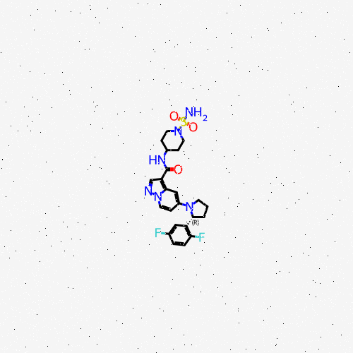 NS(=O)(=O)N1CCC(NC(=O)c2cnn3ccc(N4CCC[C@@H]4c4cc(F)ccc4F)cc23)CC1